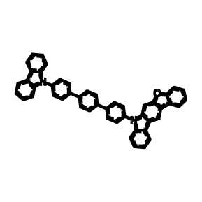 c1ccc2c(c1)oc1cc3c(cc12)c1ccccc1n3-c1ccc(-c2ccc(-c3ccc(-n4c5ccccc5c5ccccc54)cc3)cc2)cc1